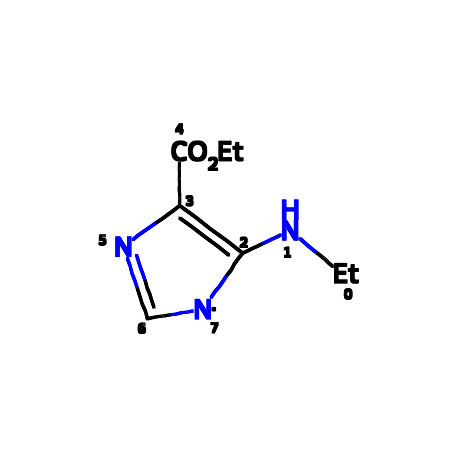 CCNC1=C(C(=O)OCC)N=C[N]1